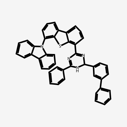 c1ccc(C2=NC(c3cccc4c3sc3c(-n5c6ccccc6c6ccccc65)cccc34)=NC(c3cccc(-c4ccccc4)c3)N2)cc1